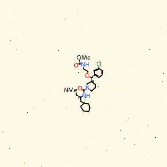 CNC[C@H](CC1(F)CCCCC1)NC(=O)N1CCC[C@@H](C(OCCNC(=O)OC)c2cccc(Cl)c2)C1